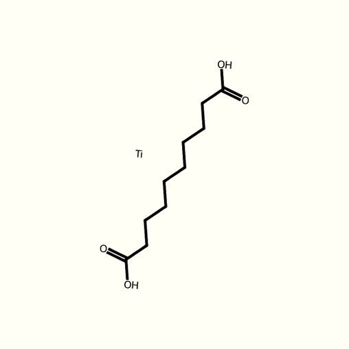 O=C(O)CCCCCCCCC(=O)O.[Ti]